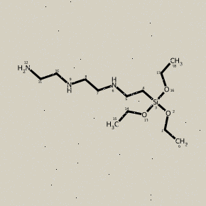 CCO[Si](CCNCCNCCN)(OCC)OCC